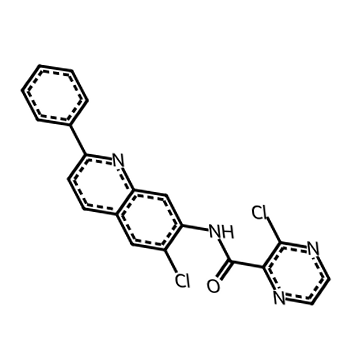 O=C(Nc1cc2nc(-c3ccccc3)ccc2cc1Cl)c1nccnc1Cl